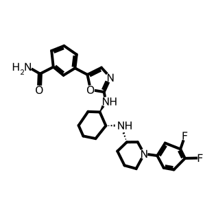 NC(=O)c1cccc(-c2cnc(N[C@@H]3CCCC[C@H]3N[C@H]3CCCN(c4ccc(F)c(F)c4)C3)o2)c1